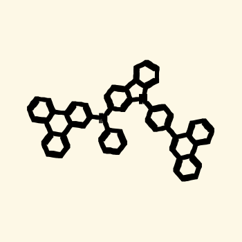 c1ccc(N(c2ccc3c4ccccc4c4ccccc4c3c2)c2ccc3c4ccccc4n(-c4ccc(-c5cc6ccccc6c6ccccc56)cc4)c3c2)cc1